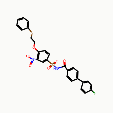 O=C(NS(=O)(=O)c1ccc(OCCSc2ccccc2)c([N+](=O)[O-])c1)c1ccc(-c2ccc(F)cc2)cc1